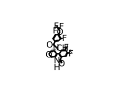 CN(C(=O)c1ccc(OC(F)(F)F)c(F)c1)[C@H]1COCc2[nH]c(=O)c3cc(F)c(F)cc3c21